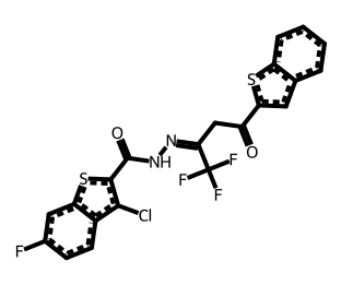 O=C(CC(=NNC(=O)c1sc2cc(F)ccc2c1Cl)C(F)(F)F)c1cc2ccccc2s1